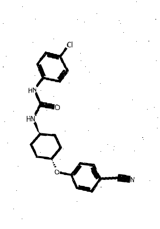 N#Cc1ccc(O[C@H]2CC[C@H](NC(=O)Nc3ccc(Cl)cc3)CC2)cc1